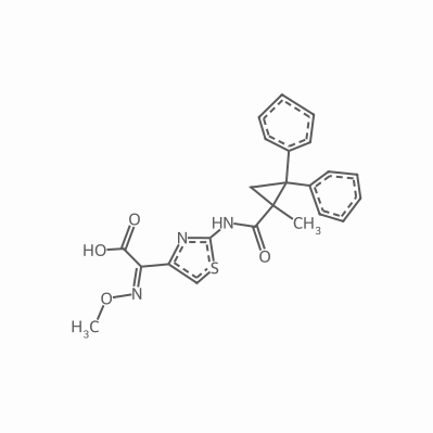 CON=C(C(=O)O)c1csc(NC(=O)C2(C)CC2(c2ccccc2)c2ccccc2)n1